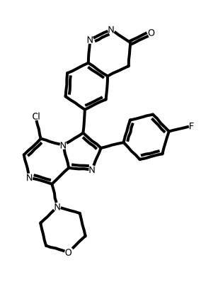 O=C1Cc2cc(-c3c(-c4ccc(F)cc4)nc4c(N5CCOCC5)ncc(Cl)n34)ccc2N=N1